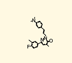 Cc1cc(-c2cc(C)c(=O)n(CC=Cc3ccc(N(C)C)cc3)n2)ccc1F